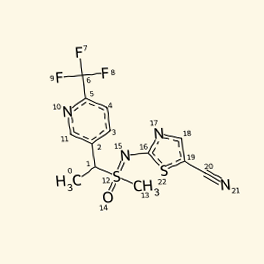 CC(c1ccc(C(F)(F)F)nc1)S(C)(=O)=Nc1ncc(C#N)s1